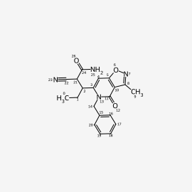 CCC(c1cc2onc(C)c2c(=O)n1Cc1ccccc1)C(C#N)C(N)=O